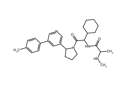 CNC(C)C(=O)NC(C(=O)N1CCCC1c1cncc(-c2ccc(C)cc2)c1)C1CCCCC1